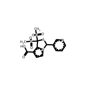 CS(=O)(=O)C1(S(C)(=O)=O)SC(c2cccnc2)n2ccc(C(=O)O)c21